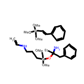 C=CNCCC[Si](OC)(OC)OC(N)(CC)Cc1ccccc1.CO[Si](C=Cc1ccccc1)(OC)OC